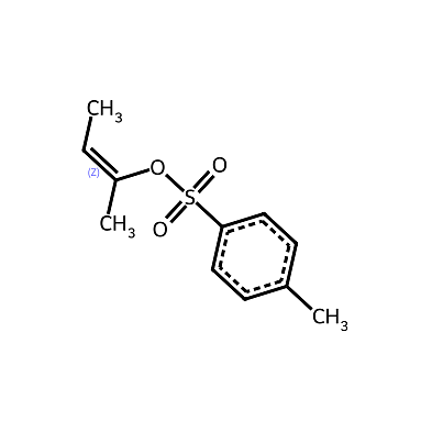 C/C=C(/C)OS(=O)(=O)c1ccc(C)cc1